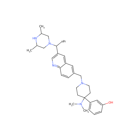 CCCC(c1cnc2ccc(CN3CCC(c4cccc(O)c4)(N(C)C)CC3)cc2c1)N1CC(C)NC(C)C1